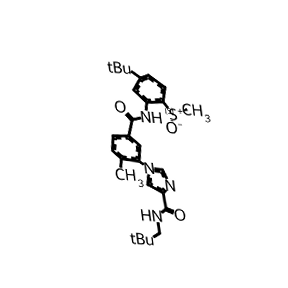 Cc1ccc(C(=O)Nc2cc(C(C)(C)C)ccc2[S@@+](C)[O-])cc1-n1cnc(C(=O)NCC(C)(C)C)c1